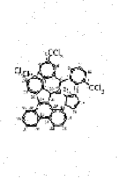 ClC(Cl)(Cl)c1cccc([C](c2cccc(C(Cl)(Cl)Cl)c2)=[Zr+2]([C]2=CC=CC2)[CH]2c3ccccc3-c3c2c2ccccc2c2ccccc32)c1.[Cl-].[Cl-]